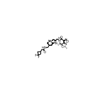 CN(C)c1nonc1C(=O)NCc1cn2ncc(CNC(=O)CC3CC(F)(F)C3)cc2n1